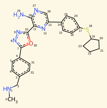 CNCc1ccc(-c2nnc(-c3nc(-c4ccc(SC5CCCC5)cc4)cnc3N)o2)cc1